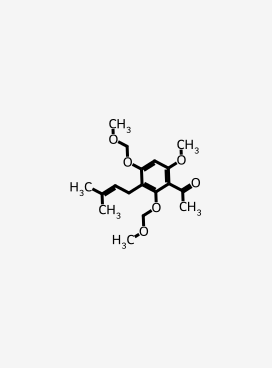 COCOc1cc(OC)c(C(C)=O)c(OCOC)c1CC=C(C)C